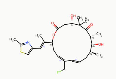 C/C(=C\c1csc(C)n1)[C@@H]1C/C=C(CF)\C=C\C[C@H](C)[C@H](O)[C@@H](C)C(=O)C(C)(C)[C@@H](O)CC(=O)O1